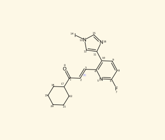 O=C(/C=C/c1nc(F)ccc1-c1cn(I)cn1)C1CCCCC1